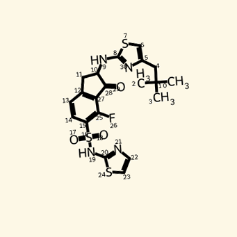 CC(C)(C)Cc1csc(NC2Cc3ccc(S(=O)(=O)Nc4nccs4)c(F)c3C2=O)n1